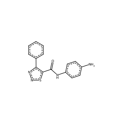 Nc1ccc(NC(=O)c2snnc2-c2ccccc2)cc1